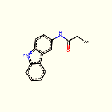 CC(=O)CC(=O)Nc1ccc2[nH]c3ccccc3c2c1